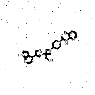 N#CCC1(n2cc(-c3ncnc4[nH]ccc34)cn2)CN(C2CCN(C(=O)Nc3ncccc3F)CC2)C1